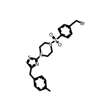 Cc1ccc(Cc2csc(N3CCN(S(=O)(=O)c4ccc(CBr)cc4)CC3)n2)cc1